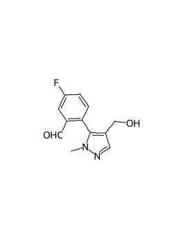 Cn1ncc(CO)c1-c1ccc(F)cc1C=O